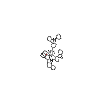 c1ccc(-c2nc(-c3ccc4c(c3)c3ccccc3n4-c3ccccc3)nc(-c3c(-n4c5cc6ccccc6cc5c5ccc6ccccc6c54)ccc4sc5ccccc5c34)n2)cc1